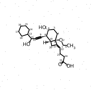 CCO[C@]12CC[C@@H](O)[C@H](C#CC(O)C3CCCCC3)[C@H]1CC2=CCCC(=O)O